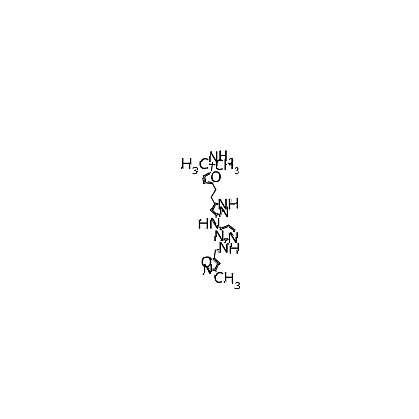 Cc1cc(CNc2nccc(Nc3cc(CCc4ccc(C(C)(C)N)o4)[nH]n3)n2)on1